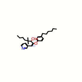 CCCCCCc1ccc(O/C(=C/c2cccnc2)C(O)C(C)(C)CCCC)cc1